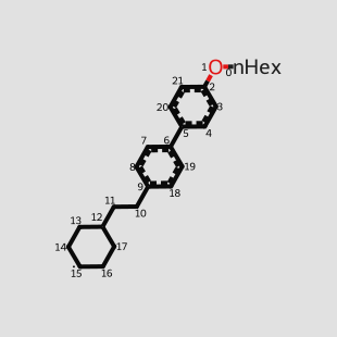 CCCCCCOc1ccc(-c2ccc(CCC3CC[CH]CC3)cc2)cc1